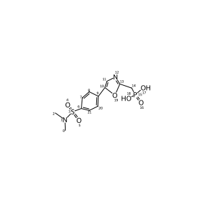 CN(C)S(=O)(=O)c1ccc(-c2cnc(CP(=O)(O)O)o2)cc1